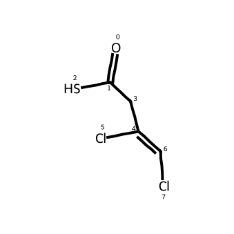 O=C(S)C/C(Cl)=C/Cl